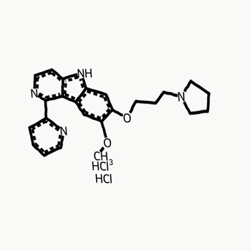 COc1cc2c(cc1OCCCN1CCCC1)[nH]c1ccnc(-c3ccccn3)c12.Cl.Cl